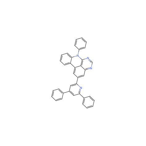 c1ccc(-c2cc(-c3ccccc3)nc(-c3cc4c5c(ncnc5c3)N(c3ccccc3)c3ccccc3-4)c2)cc1